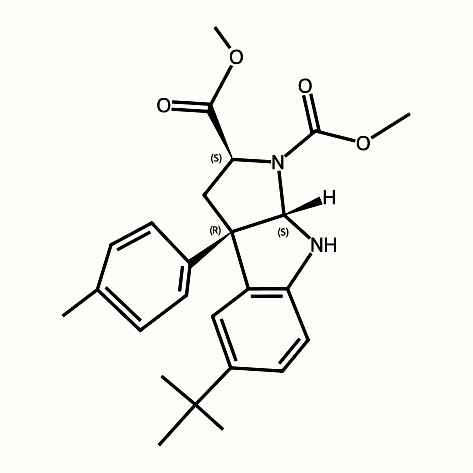 COC(=O)[C@@H]1C[C@@]2(c3ccc(C)cc3)c3cc(C(C)(C)C)ccc3N[C@H]2N1C(=O)OC